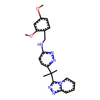 COc1ccc(CNc2ccc(C(C)(C)c3nnc4ccccn34)nn2)c(OC)c1